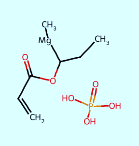 C=CC(=O)O[CH](CC)[Mg][CH3].O=P(O)(O)O